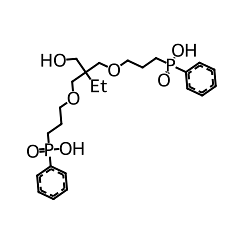 CCC(CO)(COCCCP(=O)(O)c1ccccc1)COCCCP(=O)(O)c1ccccc1